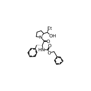 CC[C@@H](O)C1CCCN1C(=O)[C@@H](Cc1ccccc1)NC(=O)OCc1ccccc1